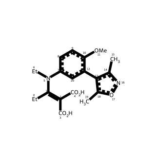 CCC(=C(C(=O)O)C(=O)O)N(CC)c1ccc(OC)c(-c2c(C)noc2C)c1